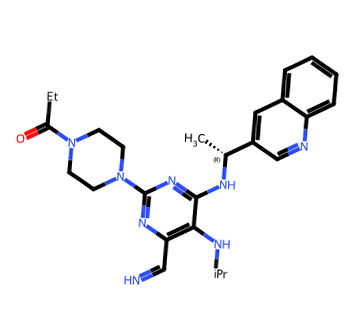 CCC(=O)N1CCN(c2nc(C=N)c(NC(C)C)c(N[C@H](C)c3cnc4ccccc4c3)n2)CC1